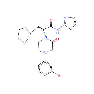 O=C(NC1=NC=CC1)[C@H](CC1CCCCC1)N1CCN(c2cccc(Br)c2)CC1=O